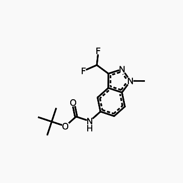 Cn1nc(C(F)F)c2cc(NC(=O)OC(C)(C)C)ccc21